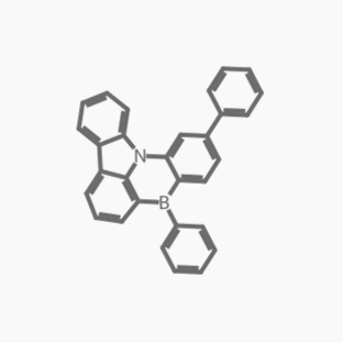 c1ccc(B2c3ccc(-c4ccccc4)cc3-n3c4ccccc4c4cccc2c43)cc1